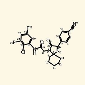 N#Cc1ccc(C2=NC3(CCCCC3)N(CC(=O)Nc3cc(F)cc(F)c3Cl)C2=O)cc1